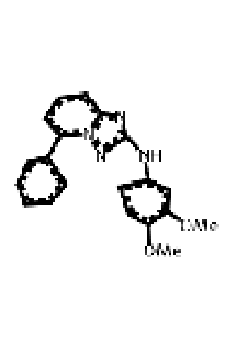 COc1ccc(Nc2nc3cccc(-c4ccccc4)n3n2)cc1OC